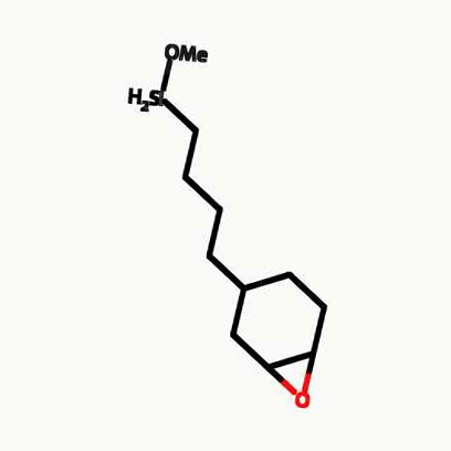 CO[SiH2]CCCCC1CCC2OC2C1